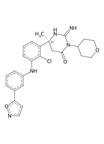 C[C@@]1(c2cccc(Nc3cccc(-c4ccno4)c3)c2Cl)CC(=O)N(C2CCOCC2)C(=N)N1